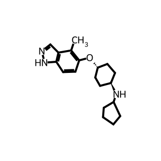 Cc1c(O[C@H]2CC[C@H](NC3CCCC3)CC2)ccc2[nH]ncc12